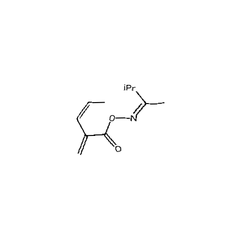 C=C(/C=C\C)C(=O)O/N=C(/C)C(C)C